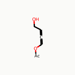 CC(=O)OC=C=CCO